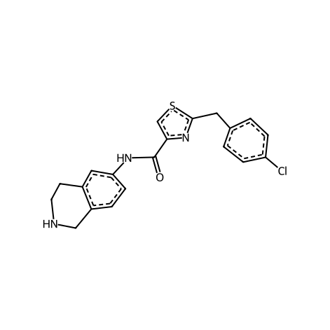 O=C(Nc1ccc2c(c1)CCNC2)c1csc(Cc2ccc(Cl)cc2)n1